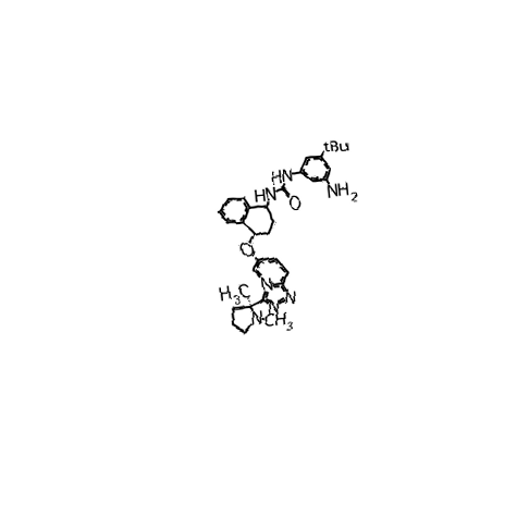 CN1CCC[C@@]1(C)c1nnc2ccc(O[C@@H]3CC[C@H](NC(=O)Nc4cc(N)cc(C(C)(C)C)c4)c4ccccc43)cn12